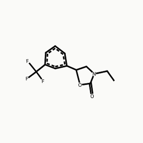 CCN1CC(c2cccc(C(F)(F)F)c2)OC1=O